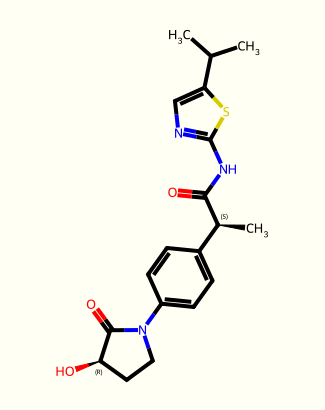 CC(C)c1cnc(NC(=O)[C@@H](C)c2ccc(N3CC[C@@H](O)C3=O)cc2)s1